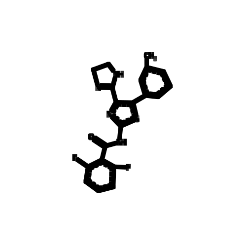 Cc1cccc(-c2sc(NC(=O)c3c(F)cccc3F)nc2C2=NCCN2)c1